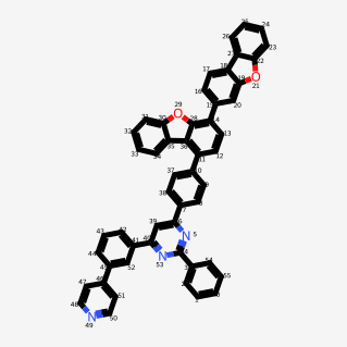 c1ccc(-c2nc(-c3ccc(-c4ccc(-c5ccc6c(c5)oc5ccccc56)c5oc6ccccc6c45)cc3)cc(-c3cccc(-c4ccncc4)c3)n2)cc1